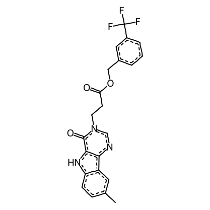 Cc1ccc2[nH]c3c(=O)n(CCC(=O)OCc4cccc(C(F)(F)F)c4)cnc3c2c1